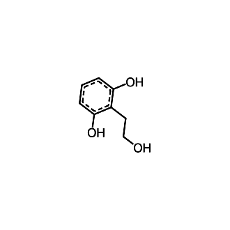 OCCc1c(O)cccc1O